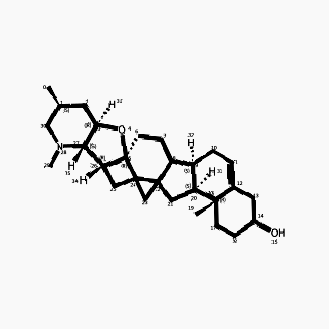 C[C@H]1C[C@H]2O[C@@]34CCC5[C@H]6CC=C7CC(O)CC[C@]7(C)[C@H]6CC56CC63C[C@@H]4[C@@H]2N(C)C1